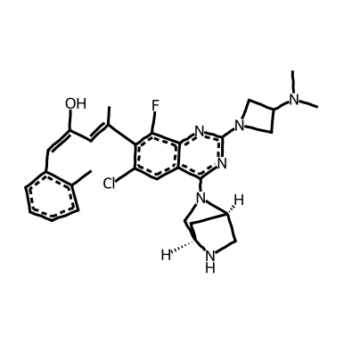 C/C(=C\C(O)=C/c1ccccc1C)c1c(Cl)cc2c(N3C[C@H]4C[C@@H]3CN4)nc(N3CC(N(C)C)C3)nc2c1F